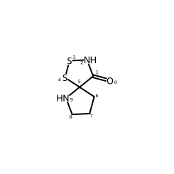 O=C1NSSC12CCCN2